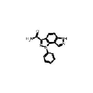 NC(=O)c1nn(-c2ccccc2)c2c1ccc1[nH]ncc12